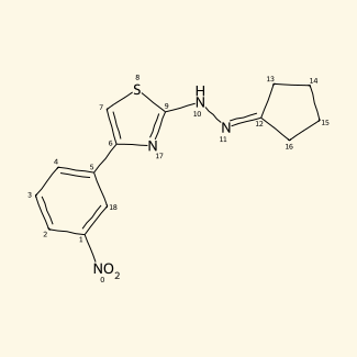 O=[N+]([O-])c1cccc(-c2csc(NN=C3CCCC3)n2)c1